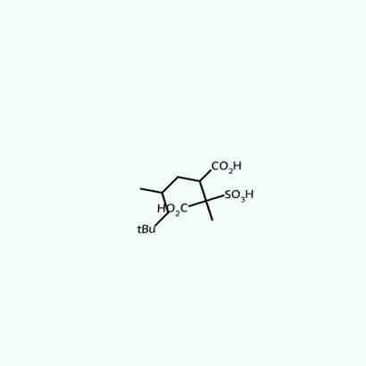 CC(CC(C(=O)O)C(C)(C(=O)O)S(=O)(=O)O)CC(C)(C)C